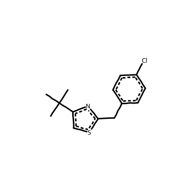 CC(C)(C)c1csc(Cc2ccc(Cl)cc2)n1